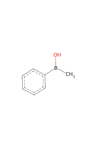 CB(O)c1ccccc1